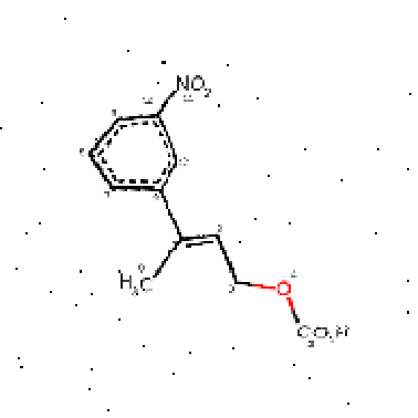 CC(=CCOC(=O)O)c1cccc([N+](=O)[O-])c1